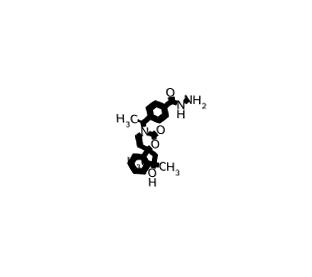 C[C@@H](c1ccc(C(=O)NN)cc1)N1C=CC(CC(C)(C)O)(c2ccccc2)OC1=O